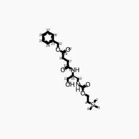 C[Si](C)(C)CCOC(=O)NC[C@@H](CO)NC(=O)CCC(=O)OCc1ccccc1